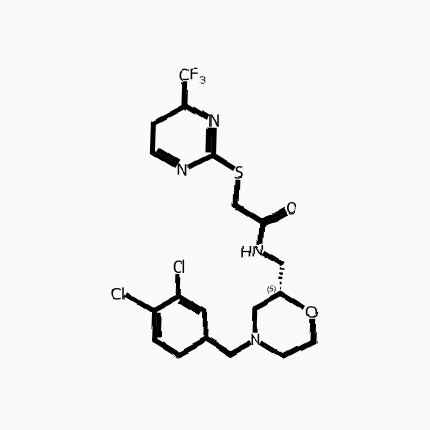 O=C(CSC1=NC(C(F)(F)F)CC=N1)NC[C@H]1CN(CC2C=C(Cl)C(Cl)=CC2)CCO1